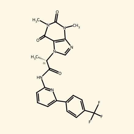 C[C@@H](C(=O)Nc1cccc(-c2ccc(C(F)(F)F)cc2)n1)n1cnc2c1c(=O)n(C)c(=O)n2C